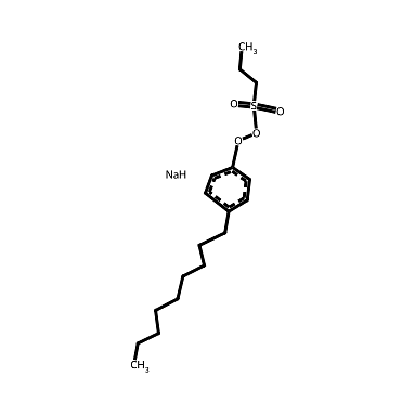 CCCCCCCCCc1ccc(OOS(=O)(=O)CCC)cc1.[NaH]